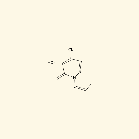 C=C1C(O)=C(C#N)C=NN1/C=C\C